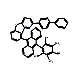 Bc1c(B)c(B)c(-c2c3ccccc3c(-c3cccc4oc5ccc(-c6ccc(-c7ccccc7)cc6)cc5c34)c3ccccc23)c(B)c1B